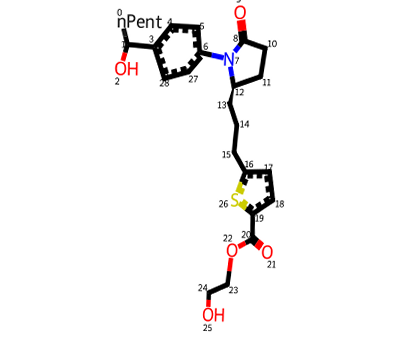 CCCCCC(O)c1ccc(N2C(=O)CC[C@H]2CCCc2ccc(C(=O)OCCO)s2)cc1